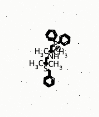 CC(C)(CP(=O)(c1ccccc1)c1ccccc1)NCC(C)(C)SCc1ccccc1